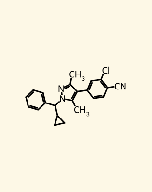 Cc1nn(C(c2ccccc2)C2CC2)c(C)c1-c1ccc(C#N)c(Cl)c1